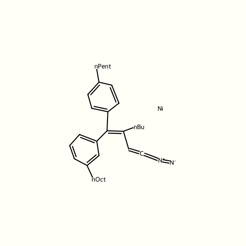 CCCCCCCCc1cccc(C(=C(C=C=[N+]=[N-])CCCC)c2ccc(CCCCC)cc2)c1.[Ni]